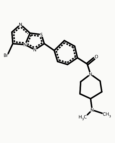 CN(C)C1CCN(C(=O)c2ccc(-c3nn4c(Br)cnc4s3)cc2)CC1